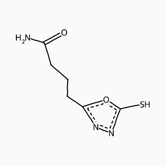 NC(=O)CCCc1nnc(S)o1